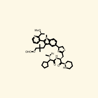 CO[C@@H](C)c1ncccc1-c1c(CC(C)(C)COC=O)c2cc(C3CSC(C[C@H](NC(=O)[C@H](C4CCCC4)N(C)C(C)=O)C(=O)N4CCCCN4)=N3)ccc2n1C